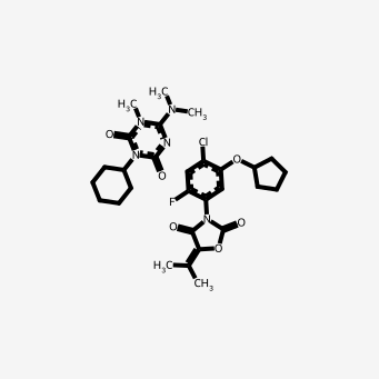 CC(C)=C1OC(=O)N(c2cc(OC3CCCC3)c(Cl)cc2F)C1=O.CN(C)c1nc(=O)n(C2CCCCC2)c(=O)n1C